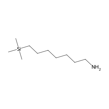 C[Si](C)(C)CCCCCCCN